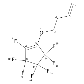 C=CCCOC1=C(F)C(F)(F)C(F)(F)C1(F)F